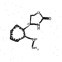 NNc1ccccc1[C@H]1COC(=O)N1